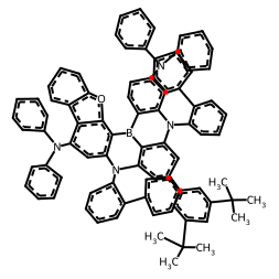 CC(C)(C)c1cc(-c2cc3c4c(c2)N(c2ccccc2-c2ccccc2)c2cc(N(c5ccccc5)c5ccccc5)c5c(oc6ccccc65)c2B4c2ccc(N(c4ccccc4)c4ccccc4)cc2N3c2ccccc2-c2ccccc2)cc(C(C)(C)C)c1